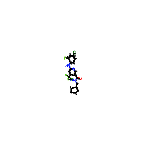 O=C(NCC1CCCC1)c1cnc(Nc2ccc(Cl)cc2F)cc1C(F)(F)F